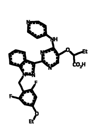 CCOc1cc(F)c(Cn2nc(-c3ncc(OC(CC)C(=O)O)c(Nc4ccncc4)n3)c3ccccc32)c(F)c1